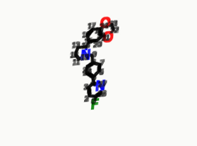 Fc1ccc(-c2ccc(CN3CCC[C@H]3c3ccc4c(c3)OCCO4)cc2)nc1